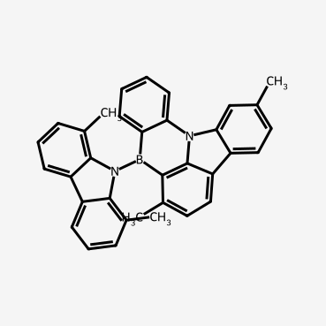 Cc1ccc2c3ccc(C)c4c3n(c2c1)-c1ccccc1B4n1c2c(C)cccc2c2cccc(C)c21